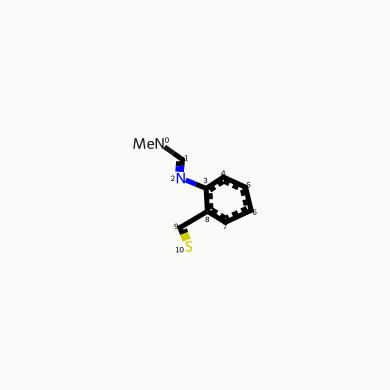 CNC=Nc1ccccc1C=S